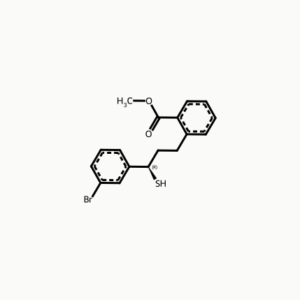 COC(=O)c1ccccc1CC[C@@H](S)c1cccc(Br)c1